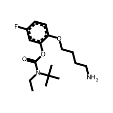 CCN(C(=O)Oc1cc(F)ccc1OCCCCN)C(C)(C)C